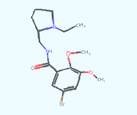 CCN1CCCC1CNC(=O)c1cc(Br)cc(OC)c1OC